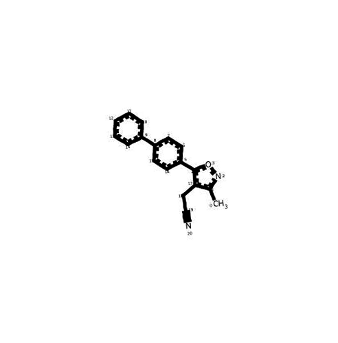 Cc1noc(-c2ccc(-c3ccccc3)cc2)c1CC#N